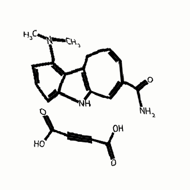 CN(C)c1cccc2[nH]c3c(c12)CC=CC(C(N)=O)=C3.O=C(O)C#CC(=O)O